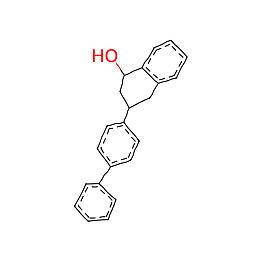 OC1CC(c2ccc(-c3ccccc3)cc2)Cc2ccccc21